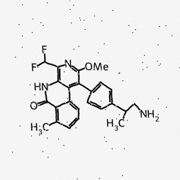 COc1nc(C(F)F)c2[nH]c(=O)c3c(C)cccc3c2c1-c1ccc(C(C)CN)cc1